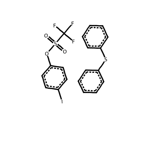 O=S(=O)(Oc1ccc(I)cc1)C(F)(F)F.c1ccc(Sc2ccccc2)cc1